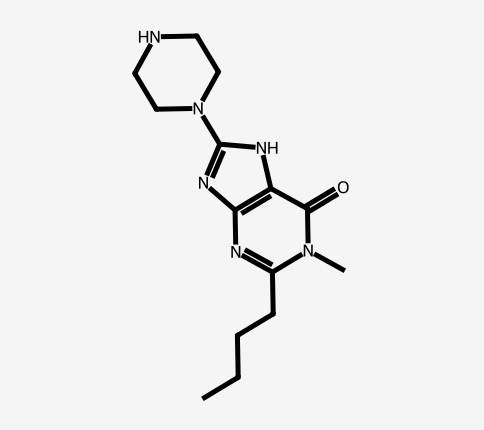 CCCCc1nc2nc(N3CCNCC3)[nH]c2c(=O)n1C